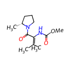 COC(=O)NC(C(=O)N1CCC[C@H]1C)=C(C)C